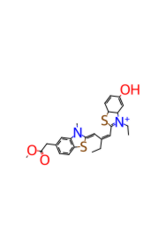 CCC(=CC1=[N+](CC)C2C=C(O)C=CC2S1)C=C1Sc2ccc(CC(=O)OC)cc2N1C